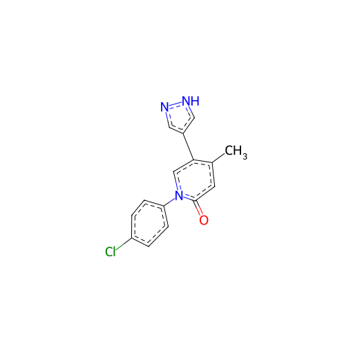 Cc1cc(=O)n(-c2ccc(Cl)cc2)cc1-c1cn[nH]c1